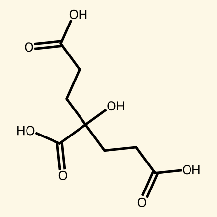 O=C(O)CCC(O)(CCC(=O)O)C(=O)O